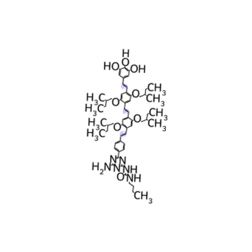 CCCCNC(=O)Nc1nc(N)nc(-c2ccc(/C=C/c3cc(OCC(C)CC)c(/C=C/c4cc(OCC(C)CC)c(/C=C/c5cc(O)c(O)c(O)c5)cc4OCC(C)CC)cc3OCC(C)CC)cc2)n1